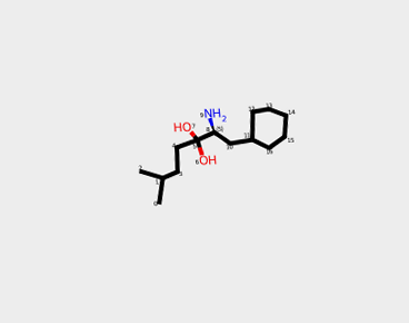 CC(C)CCC(O)(O)[C@@H](N)CC1CCCCC1